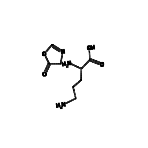 NCCCC(N)C(=O)O.O=C1CN=CO1